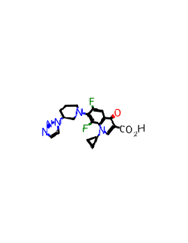 O=C(O)c1cn(C2CC2)c2c(F)c(N3CCCC(n4ccnn4)C3)c(F)cc2c1=O